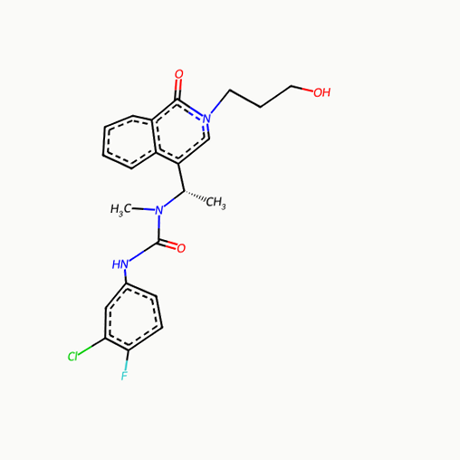 C[C@@H](c1cn(CCCO)c(=O)c2ccccc12)N(C)C(=O)Nc1ccc(F)c(Cl)c1